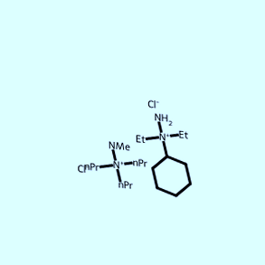 CCC[N+](CCC)(CCC)NC.CC[N+](N)(CC)C1CCCCC1.[Cl-].[Cl-]